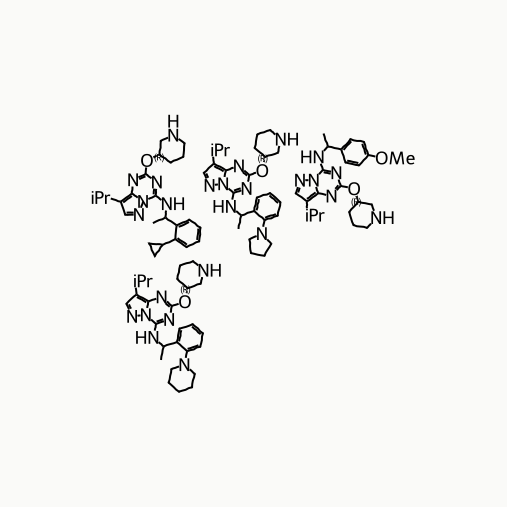 CC(C)c1cnn2c(NC(C)c3ccccc3C3CC3)nc(O[C@@H]3CCCNC3)nc12.CC(C)c1cnn2c(NC(C)c3ccccc3N3CCCC3)nc(O[C@@H]3CCCNC3)nc12.CC(C)c1cnn2c(NC(C)c3ccccc3N3CCCCC3)nc(O[C@@H]3CCCNC3)nc12.COc1ccc(C(C)Nc2nc(O[C@@H]3CCCNC3)nc3c(C(C)C)cnn23)cc1